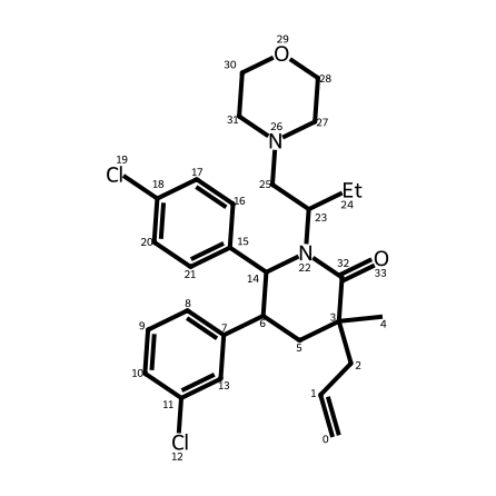 C=CCC1(C)CC(c2cccc(Cl)c2)C(c2ccc(Cl)cc2)N(C(CC)CN2CCOCC2)C1=O